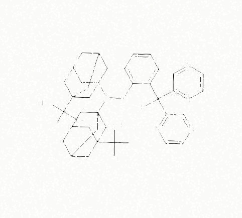 CC(C)(C)C12CC3CC(CC(P(Cc4ccccc4C(P)(c4cnccn4)c4cnccn4)C45CC6CC(C4)CC(C(C)(C)C)(C6)C5)(C3)C1)C2